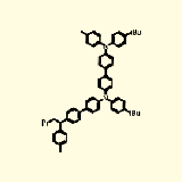 CCC(C)c1ccc(N(c2ccc(C)cc2)c2ccc(-c3ccc(N(c4ccc(-c5ccc(C(CC(C)C)c6ccc(C)cc6)cc5)cc4)c4ccc(C(C)CC)cc4)cc3)cc2)cc1